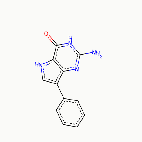 Nc1nc2c(-c3ccccc3)c[nH]c2c(=O)[nH]1